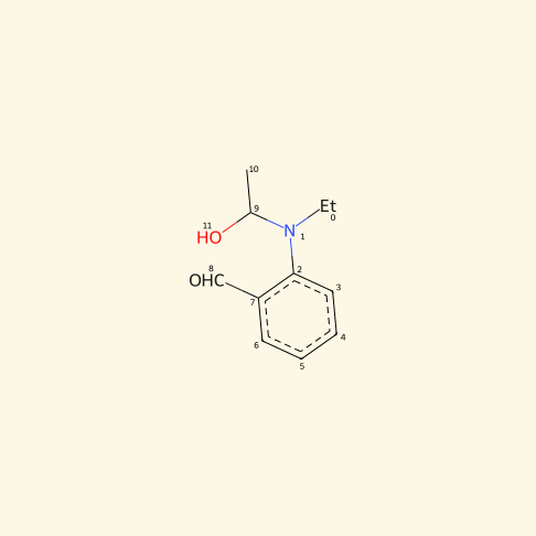 CCN(c1ccccc1C=O)C(C)O